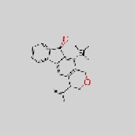 C=C(C)C1COCc2c1cc1c(c2[Si](C)(C)C)C(=O)c2ccccc2-1